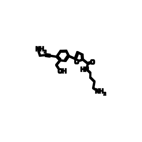 NCC#Cc1ccc(-c2ccc(C(=O)NCCCCN)o2)cc1CO